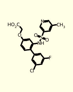 Cc1cncc(S(=O)(=O)Nc2cc(OCC(=O)O)ccc2-c2cc(F)cc(Cl)c2)c1